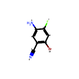 N#Cc1cc(N)c(F)cc1Br